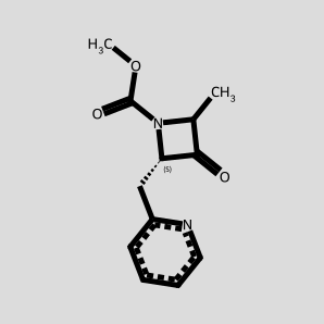 COC(=O)N1C(C)C(=O)[C@@H]1Cc1ccccn1